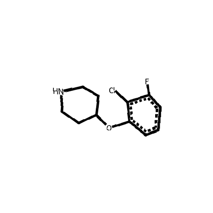 Fc1cccc(OC2CCNCC2)c1Cl